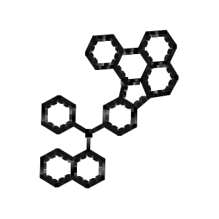 c1ccc(N(c2ccc3c4ccc5cccc6c7ccccc7n(c3c2)c4c56)c2cccc3ccccc23)cc1